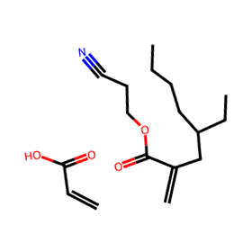 C=C(CC(CC)CCCC)C(=O)OCCC#N.C=CC(=O)O